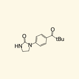 CC(C)(C)C(=O)c1ccc(N2CCNC2=O)cc1